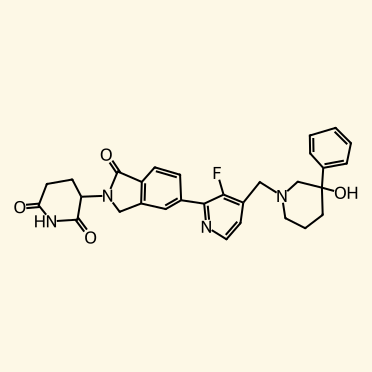 O=C1CCC(N2Cc3cc(-c4nccc(CN5CCCC(O)(c6ccccc6)C5)c4F)ccc3C2=O)C(=O)N1